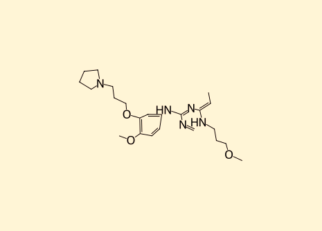 C=N/C(=N\C(=C/C)NCCCOC)Nc1ccc(OC)c(OCCCN2CCCC2)c1